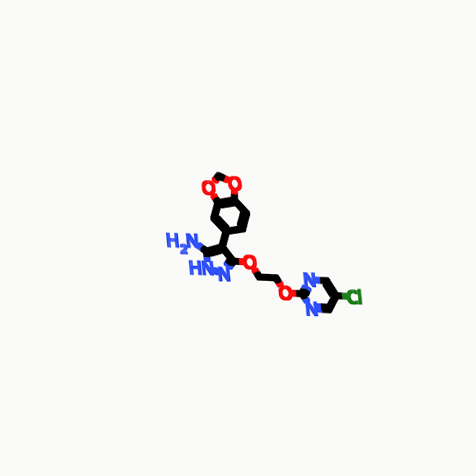 Nc1[nH]nc(OCCOc2ncc(Cl)cn2)c1-c1ccc2c(c1)OCO2